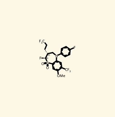 COc1cc2c(cc1C(F)(F)F)N(c1ccc(F)cc1)C[C@@H](CCC(F)(F)F)[C@H](F)S2(=O)=O